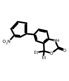 CCC1(CC)OC(=O)Nc2ccc(-c3cccc([N+](=O)[O-])c3)cc21